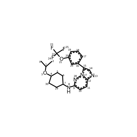 CC(C)OC1CCC(Nc2ccc3ncc(-c4cccc(OC(F)(F)F)c4)n3n2)CC1